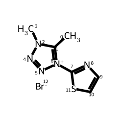 Cc1n(C)nn[n+]1-c1nccs1.[Br-]